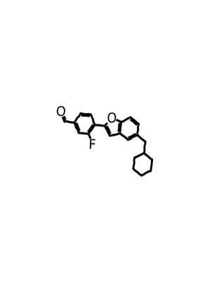 O=Cc1ccc(-c2cc3cc(CC4CCCCC4)ccc3o2)c(F)c1